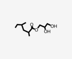 CCC(C)CC(C)C(=O)OCC(O)CO